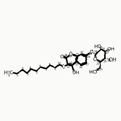 CCCCCCCCCCCOc1c(O)c2ccc(O[C@H]3O[C@H](CO)[C@@H](O)[C@H](O)[C@@H]3O)cc2oc1=O